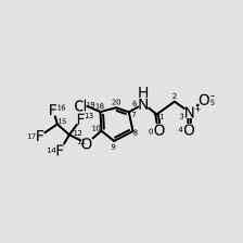 O=C(C[N+](=O)[O-])Nc1ccc(OC(F)(F)C(F)F)c(Cl)c1